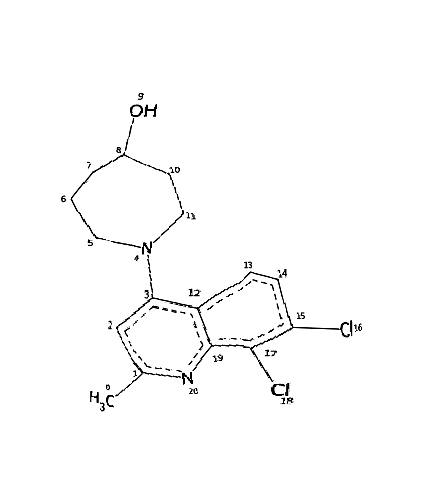 Cc1cc(N2CCCC(O)CC2)c2ccc(Cl)c(Cl)c2n1